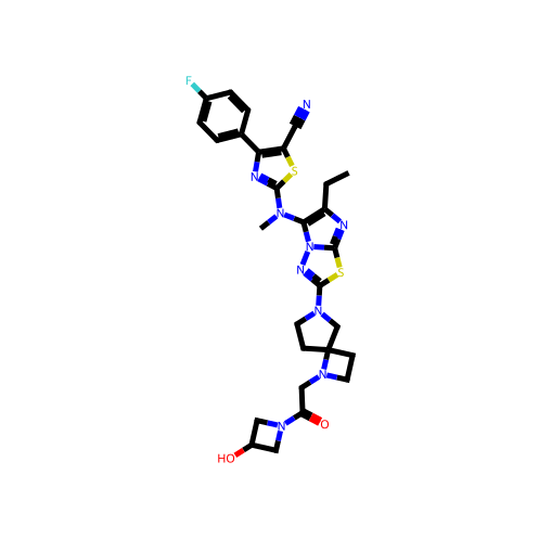 CCc1nc2sc(N3CCC4(CCN4CC(=O)N4CC(O)C4)C3)nn2c1N(C)c1nc(-c2ccc(F)cc2)c(C#N)s1